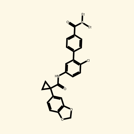 CCN(CC)C(=O)c1ccc(-c2cc(NC(=O)C3(c4ccc5c(c4)OCO5)CC3)ccc2Cl)cc1